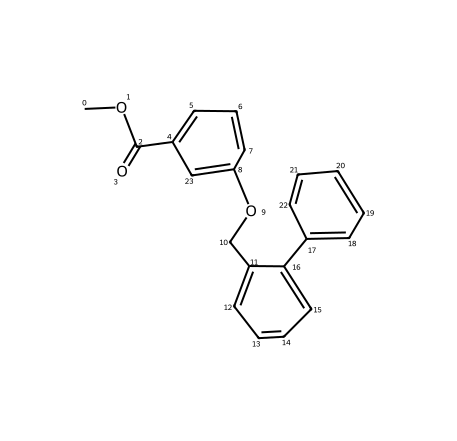 COC(=O)c1cccc(OCc2ccccc2-c2ccccc2)c1